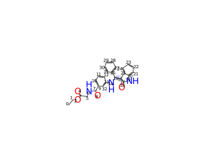 CCOC(=O)CNC(=O)c1cccc(N/C(=C2\C(=O)Nc3ccccc32)c2ccccc2)c1